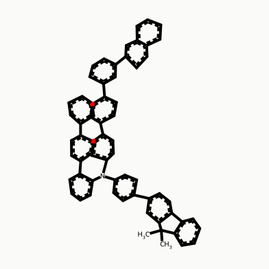 CC1(C)c2ccccc2-c2ccc(-c3ccc(N(c4ccc(-c5ccc(-c6cccc(-c7ccc8ccccc8c7)c6)cc5)cc4)c4ccccc4-c4ccc(-c5ccccc5)cc4)cc3)cc21